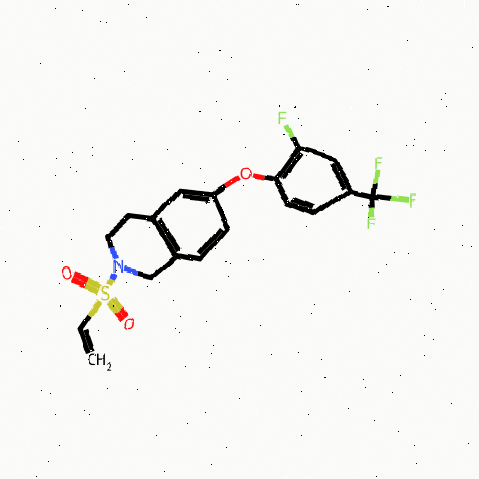 C=CS(=O)(=O)N1CCc2cc(Oc3ccc(C(F)(F)F)cc3F)ccc2C1